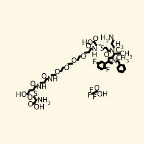 CC(C)(C)[C@H](c1cc(-c2cc(F)ccc2F)cn1Cc1ccccc1)N(CCCN)C(=O)CSC[C@H](NC(=O)CCOCCOCCOCCOCCNC(=O)CCNC(=O)C(CC(=O)O)SC[C@H](N)C(=O)O)C(=O)O.O=C(O)C(F)(F)F